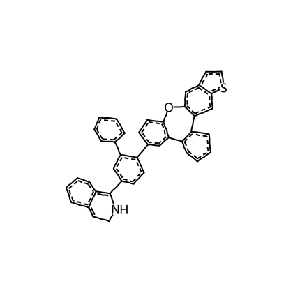 C1=c2ccccc2=C(c2ccc(-c3ccc4c(c3)-c3ccccc3-c3cc5sccc5cc3O4)c(-c3ccccc3)c2)NC1